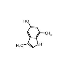 Cc1c[nH]c2c(C)cc(O)cc12